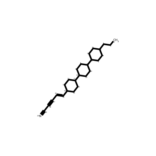 CCCC1CCC(C2CCC(C3CCC(/C=C/C#CC#N)CC3)CC2)CC1